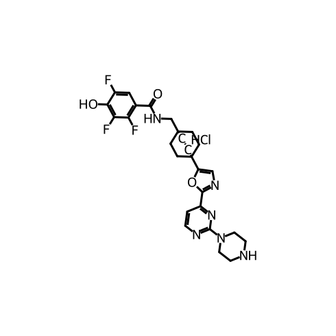 Cl.O=C(NCC12CCC(c3cnc(-c4ccnc(N5CCNCC5)n4)o3)(CC1)CC2)c1cc(F)c(O)c(F)c1F